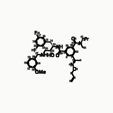 C=CCO/N=C(\C)c1cc(C(=O)N[C@@H](Cc2cc(F)cc(F)c2)[C@H](O)CNCc2cccc(OC)c2)cc(C(=O)N(C)CCC)c1